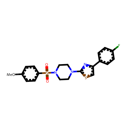 COc1ccc(S(=O)(=O)N2CCN(c3nc(-c4ccc(F)cc4)cs3)CC2)cc1